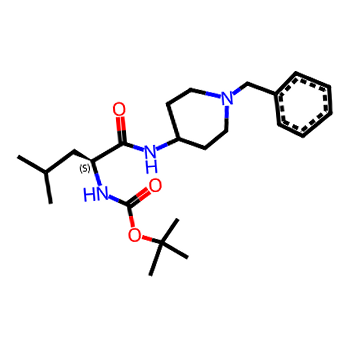 CC(C)C[C@H](NC(=O)OC(C)(C)C)C(=O)NC1CCN(Cc2ccccc2)CC1